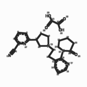 N#Cc1cccc(C2CCN(CCc3cccnc3N3CCCCC3=O)C2)n1.O=C(O)C(=O)O